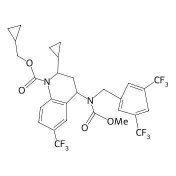 COC(=O)N(Cc1cc(C(F)(F)F)cc(C(F)(F)F)c1)C1CC(C2CC2)N(C(=O)OCC2CC2)c2ccc(C(F)(F)F)cc21